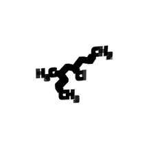 C=CCC(Cl)C[C](C)C=CC